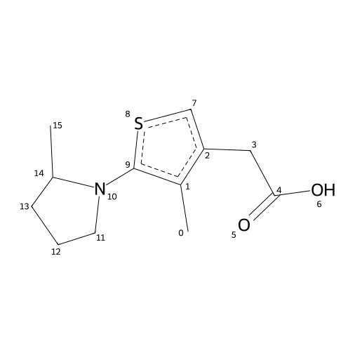 Cc1c(CC(=O)O)csc1N1CCCC1C